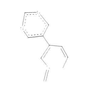 C=N/C=C(\C=C/C)c1cncnc1